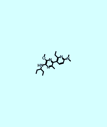 CCc1nc(N(C)C)ccc1-c1nc(OC)c(NC(CC)CC)nc1C